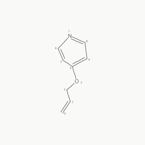 C=CCOc1ccncc1